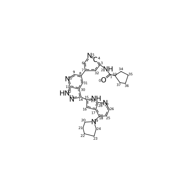 O=C(Nc1cncc(-c2cnc3[nH]nc(-c4cc5c(N6CCCCC6)ccnc5[nH]4)c3c2)c1)C1CCCC1